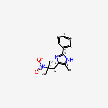 Cc1[nH]c(-c2ccccc2)nc1CC(C)(C)[N+](=O)[O-]